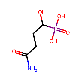 NC(=O)CCC(O)P(=O)(O)O